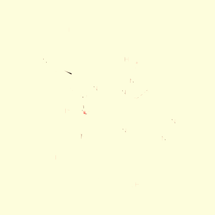 CC(C)[Si](C#Cc1c(F)ccc2cc(O)cc(-c3nc(-c4cccc5[nH]ncc45)c4c(N5C[C@H]6CC[C@@H](C5)N6)nc(OC[C@@]56CCCN5C[C@H](F)C6)nc4c3F)c12)(C(C)C)C(C)C